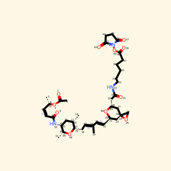 CC(=O)O[C@@H](C)/C=C\C(=O)N[C@@H]1C[C@H](C)[C@H](C/C=C(C)/C=C/[C@@H]2C[C@]3(CO3)C[C@@H](CC(=O)NCCCCCC(=O)ON3C(=O)CCC3=O)O2)O[C@@H]1C